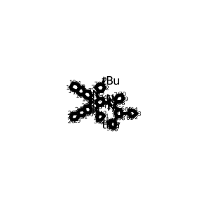 CC(C)(C)c1ccc(N2c3cc4cc5ccccc5cc4cc3B3c4cc5cc6ccccc6cc5cc4N(c4ccc(C(C)(C)C)cc4)c4cc(-c5nc(-c6cc(-c7ccccc7)cc(-c7ccccc7)c6)c6ccccc6n5)cc2c43)cc1